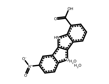 O.O.O=C(O)c1cccc2c1[nH]c1c3cc([N+](=O)[O-])ccc3oc21